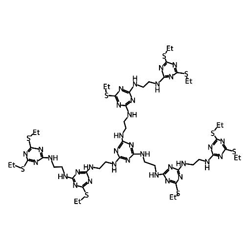 CCSc1nc(NCCNc2nc(NCCNc3nc(NCCNc4nc(SCC)nc(SCC)n4)nc(SCC)n3)nc(NCCNc3nc(NCCNc4nc(SCC)nc(SCC)n4)nc(SCC)n3)n2)nc(NCCNc2nc(SCC)nc(SCC)n2)n1